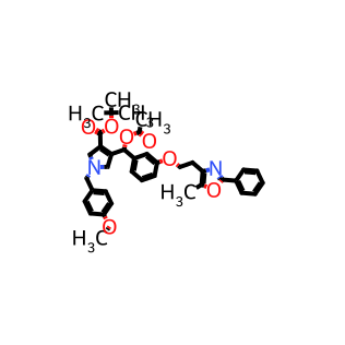 COc1ccc(CN2CC(C(=O)OC(C)(C)C)=C(C(OC(C)=O)c3cccc(OCCc4nc(-c5ccccc5)oc4C)c3)C2)cc1